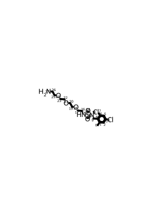 Cc1cc(Cl)cc(Cl)c1CN(C)S(=O)(=O)NCCOCCOCCOCCN